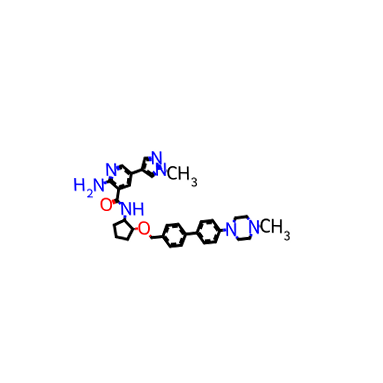 CN1CCN(c2ccc(-c3ccc(CO[C@H]4CCCC4NC(=O)c4cc(-c5cnn(C)c5)cnc4N)cc3)cc2)CC1